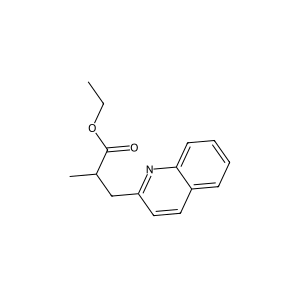 CCOC(=O)C(C)Cc1ccc2ccccc2n1